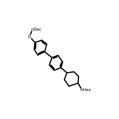 CCCCCCCCCCOc1ccc(-c2ccc(C3CCC(CCCCCC)CC3)cc2)cc1